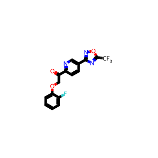 O=C(COc1ccccc1F)c1ccc(-c2noc(C(F)(F)F)n2)cn1